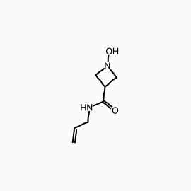 C=CCNC(=O)C1CN(O)C1